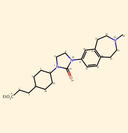 CCOC(=O)CCC1CCC(N2CCN(c3ccc4c(c3)CCN(C)CC4)C2=O)CC1